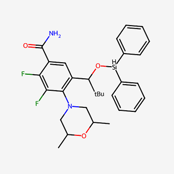 CC1CN(c2c(C(O[SiH](c3ccccc3)c3ccccc3)C(C)(C)C)cc(C(N)=O)c(F)c2F)CC(C)O1